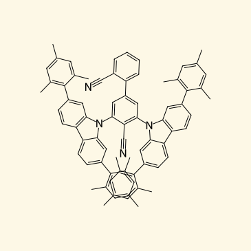 Cc1cc(C)c(-c2ccc3c4ccc(-c5c(C)cc(C)cc5C)cc4n(-c4cc(-c5ccccc5C#N)cc(-n5c6cc(-c7c(C)cc(C)cc7C)ccc6c6ccc(-c7c(C)cc(C)cc7C)cc65)c4C#N)c3c2)c(C)c1